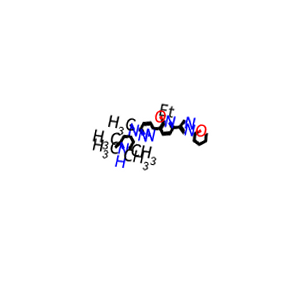 CCOc1nc(-c2cnn(C3CCCCO3)c2)ccc1-c1ccc(N(C)C2CC(C)(C)NC(C)(C)C2)nn1